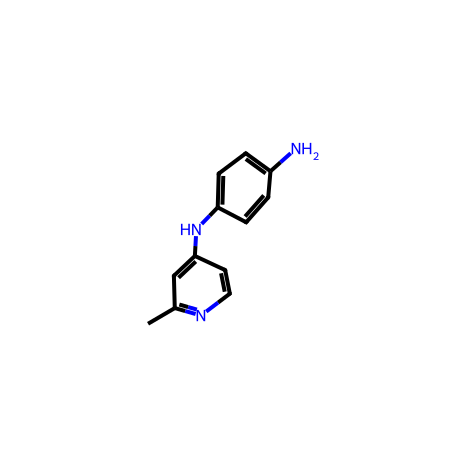 Cc1cc(Nc2ccc(N)cc2)ccn1